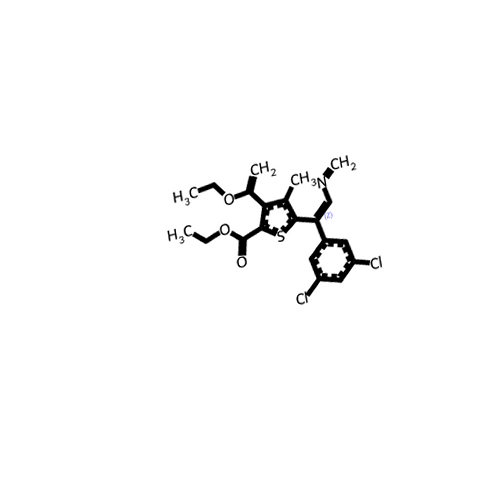 C=N/C=C(/c1cc(Cl)cc(Cl)c1)c1sc(C(=O)OCC)c(C(=C)OCC)c1C